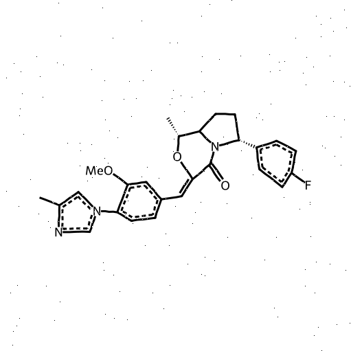 COc1cc(/C=C2\O[C@H](C)C3CC[C@H](c4ccc(F)cc4)N3C2=O)ccc1-n1cnc(C)c1